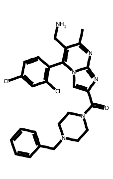 Cc1nc2nc(C(=O)N3CCN(Cc4ccccc4)CC3)cn2c(-c2ccc(Cl)cc2Cl)c1CN